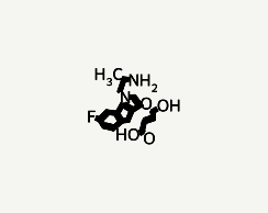 C[C@@H](N)Cn1ccc2c1-c1cc(F)ccc1C2.O=C(O)/C=C/C(=O)O